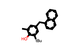 Cc1cc(Cc2cccc3ccccc23)cc(C(C)(C)C)c1O